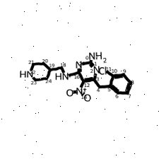 Nc1nc(Cc2ccccc2Cl)c([N+](=O)[O-])c(NCC2CCNCC2)n1